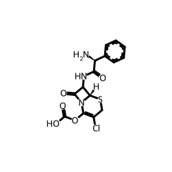 N[C@H](C(=O)NC1C(=O)N2C(OC(=O)O)=C(Cl)CS[C@@H]12)c1ccccc1